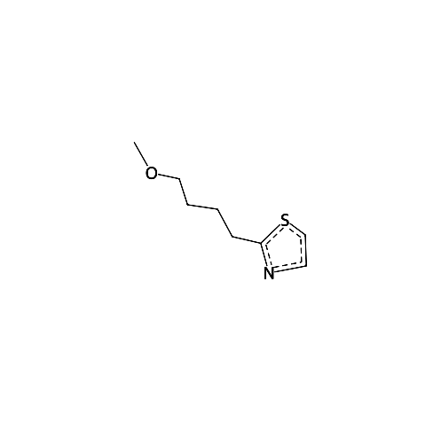 COCCCCc1nccs1